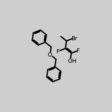 CC(Br)C(F)=C(O)F.c1ccc(COCc2ccccc2)cc1